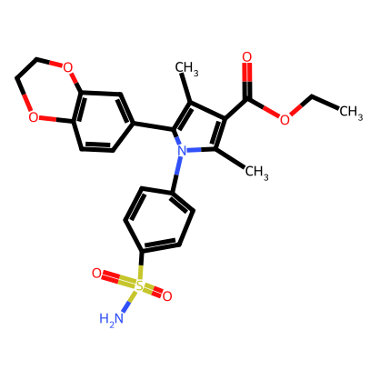 CCOC(=O)c1c(C)c(-c2ccc3c(c2)OCCO3)n(-c2ccc(S(N)(=O)=O)cc2)c1C